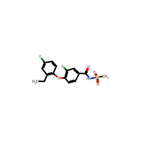 CCc1cc(F)ccc1Oc1ccc(C(=O)NS(C)(=O)=O)cc1F